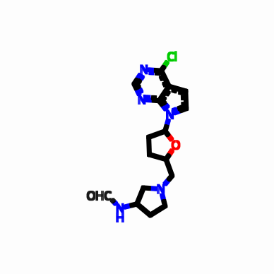 O=CNC1CCN(CC2CCC(n3ccc4c(Cl)ncnc43)O2)C1